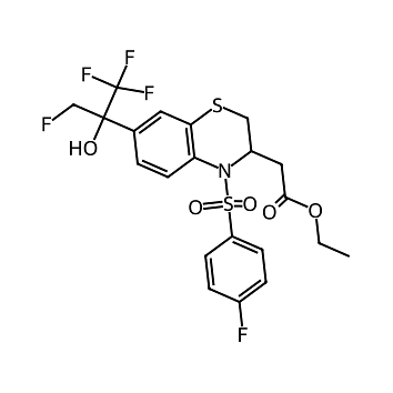 CCOC(=O)CC1CSc2cc(C(O)(CF)C(F)(F)F)ccc2N1S(=O)(=O)c1ccc(F)cc1